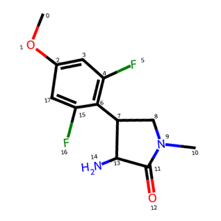 COc1cc(F)c(C2CN(C)C(=O)C2N)c(F)c1